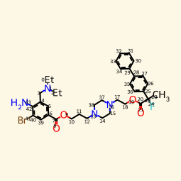 CCN(CC)Cc1cc(C(=O)OCCCN2CCN(CCOC(=O)C(C)(F)c3ccc(-c4ccccc4)cc3)CC2)cc(Br)c1N